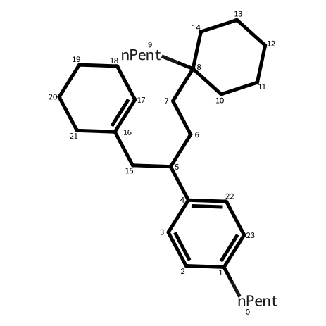 CCCCCc1ccc(C(CCC2(CCCCC)CCCCC2)CC2=CCCCC2)cc1